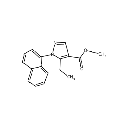 CCc1c(C(=O)OC)cnn1-c1cccc2ccccc12